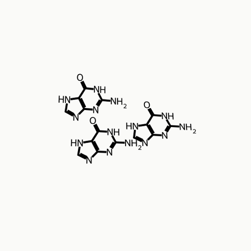 Nc1nc2nc[nH]c2c(=O)[nH]1.Nc1nc2nc[nH]c2c(=O)[nH]1.Nc1nc2nc[nH]c2c(=O)[nH]1